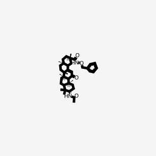 CC(=O)N[C@@H]1CC[C@@]2(C)C(CC[C@]3(C)C2C(=O)C=C2C4C[C@@](C)(C(=O)NOCc5ccccc5)CC[C@]4(C)CC[C@]23C)C1(C)C